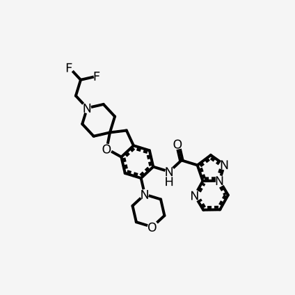 O=C(Nc1cc2c(cc1N1CCOCC1)OC1(CCN(CC(F)F)CC1)C2)c1cnn2cccnc12